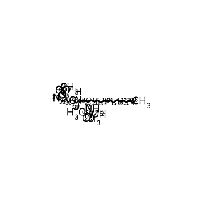 CC(C)[C@H](N)C(=O)O.CCCCCCCCCCCCCCCCCCNC(=O)OCC(CC#N)COS(C)(=O)=O